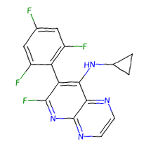 Fc1cc(F)c(-c2c(F)nc3nccnc3c2NC2CC2)c(F)c1